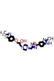 Cc1nc2cc(-c3nc(CN4CCN(C[C@@H](O)COc5ccc6sc(C)nc6c5)CC4)no3)ccc2[nH]1